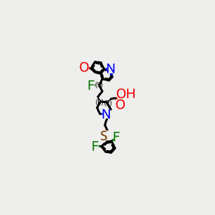 COc1ccc2nccc([C@@H](F)CC[C@@H]3CCN(CCCSc4c(F)cccc4F)C[C@@H]3CC(=O)O)c2c1